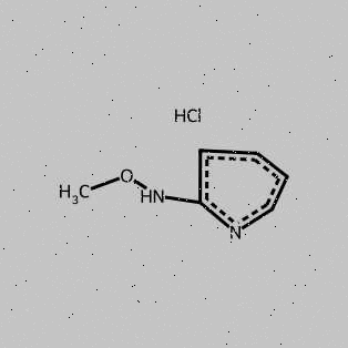 CONc1ccccn1.Cl